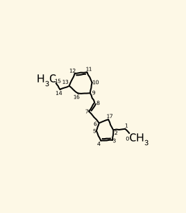 CCC1C=CCC(C=CC2CC=CC(CC)C2)C1